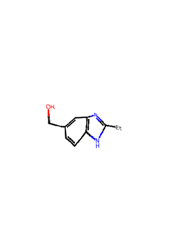 CCc1nc2cc(CO)ccc2[nH]1